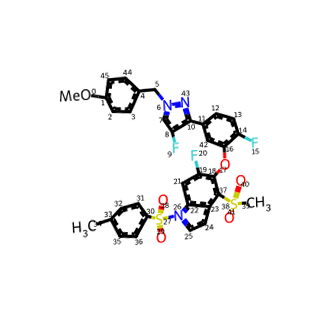 COc1ccc(Cn2cc(F)c(-c3ccc(F)c(Oc4c(F)cc5c(ccn5S(=O)(=O)c5ccc(C)cc5)c4S(C)(=O)=O)c3)n2)cc1